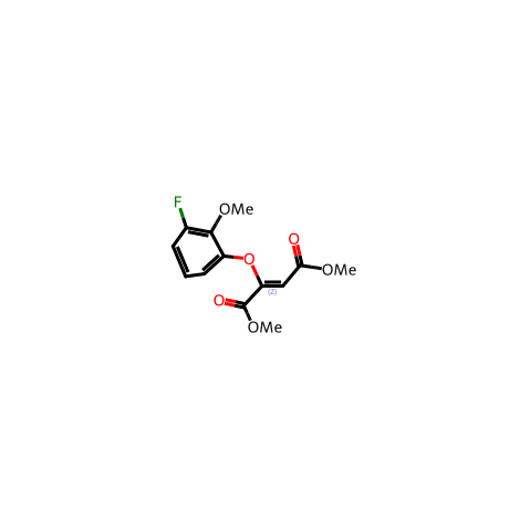 COC(=O)/C=C(\Oc1cccc(F)c1OC)C(=O)OC